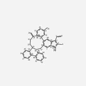 C=Cc1c(C)[nH]c2cc3c(cc12)-c1cc(C)cc[n+]1C(=C)CCC(c1ccccc1-c1ccccn1)CC3